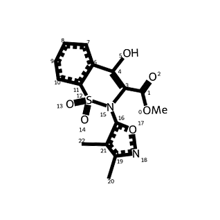 COC(=O)C1=C(O)c2ccccc2S(=O)(=O)N1c1onc(C)c1C